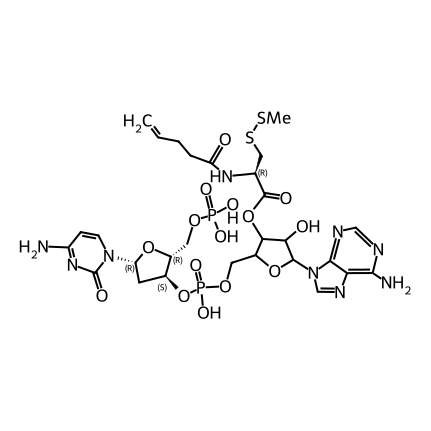 C=CCCC(=O)N[C@@H](CSSC)C(=O)OC1C(COP(=O)(O)O[C@H]2C[C@H](n3ccc(N)nc3=O)O[C@@H]2COP(=O)(O)O)OC(n2cnc3c(N)ncnc32)C1O